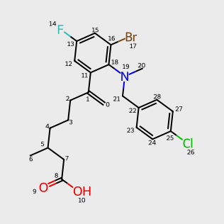 C=C(CCCC(C)CC(=O)O)c1cc(F)cc(Br)c1N(C)Cc1ccc(Cl)cc1